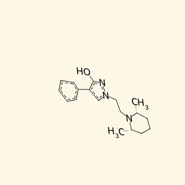 C[C@@H]1CCC[C@H](C)N1CCn1cc(-c2ccccc2)c(O)n1